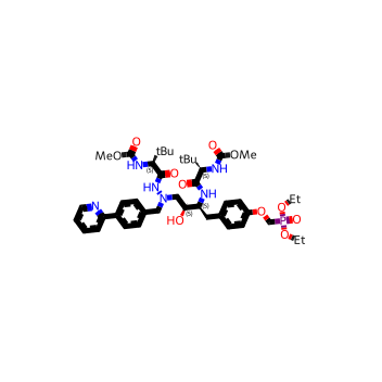 CCOP(=O)(COc1ccc(C[C@H](NC(=O)[C@@H](NC(=O)OC)C(C)(C)C)[C@@H](O)CN(Cc2ccc(-c3ccccn3)cc2)NC(=O)[C@@H](NC(=O)OC)C(C)(C)C)cc1)OCC